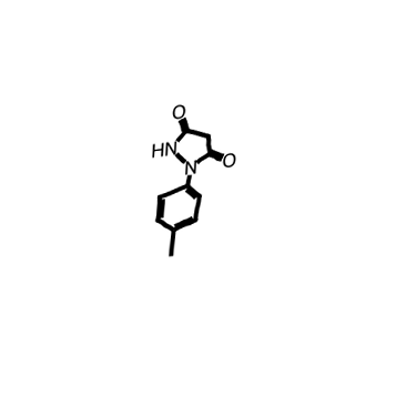 Cc1ccc(N2NC(=O)CC2=O)cc1